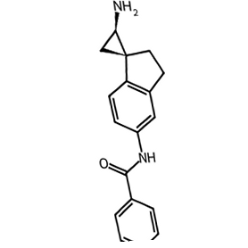 N[C@@H]1C[C@]12CCc1cc(NC(=O)c3ccccc3)ccc12